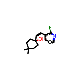 CC1(C)CCC(O)(/C=C\c2cccnc2F)CC1